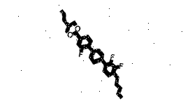 CCCCCc1ccc(-c2ccc(-c3ccc(C4OCC(CCC)CO4)cc3F)cc2)c(F)c1F